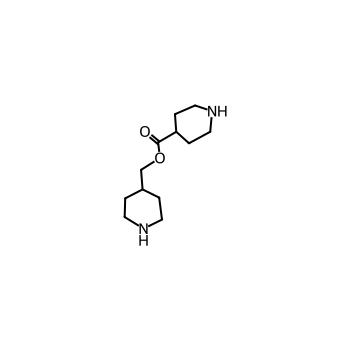 O=C(OCC1CCNCC1)C1CCNCC1